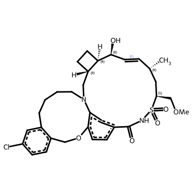 COC[C@@H]1C[C@@H](C)/C=C/[C@H](O)[C@@H]2CC[C@H]2CN2CCCCc3cc(Cl)ccc3COc3ccc(cc32)C(=O)NS1(=O)=O